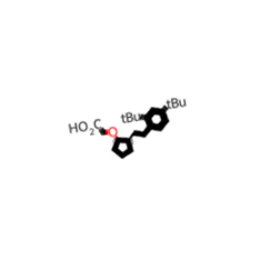 CC(C)(C)c1ccc(CC[C@H]2CCC[C@H]2OCC(=O)O)c(C(C)(C)C)c1